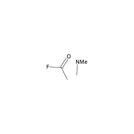 CC(=O)F.CNC